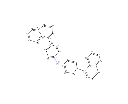 C1=CC(c2cccc3ccccc23)CC=C1Nc1ccc(-c2cccc3ccccc23)cc1